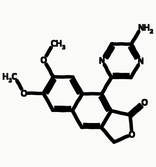 COc1cc2cc3c(c(-c4cnc(N)cn4)c2cc1OC)C(=O)OC3